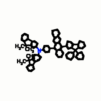 CC1(C)c2ccccc2-c2ccc(N(c3ccc(-c4c5ccccc5c(-c5ccc6c(c5)C(c5ccccc5)(c5ccccc5)c5ccccc5-6)c5cc6ccccc6cc45)cc3)c3ccc4c(c3)C(C)(C)c3ccccc3-4)cc21